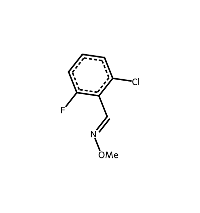 CO/N=C/c1c(F)cccc1Cl